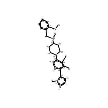 CSc1ccccc1CN(C)C1CCN(c2nnc(-c3ccnn3C)c(C)c2C)CC1